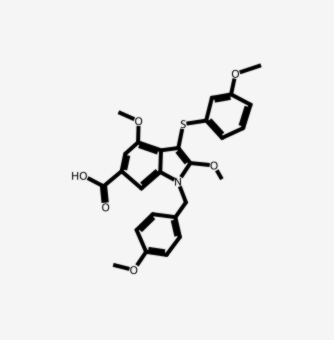 COc1ccc(Cn2c(OC)c(Sc3cccc(OC)c3)c3c(OC)cc(C(=O)O)cc32)cc1